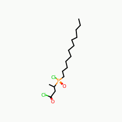 CCCCCCCCCCCCP(=O)(Cl)C(C)CC(=O)Cl